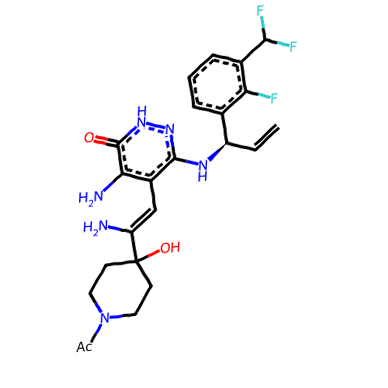 C=C[C@@H](Nc1n[nH]c(=O)c(N)c1/C=C(\N)C1(O)CCN(C(C)=O)CC1)c1cccc(C(F)F)c1F